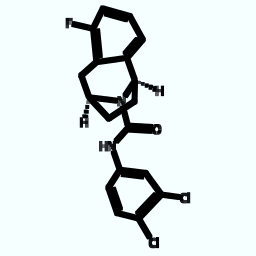 O=C(Nc1ccc(Cl)c(Cl)c1)N1[C@H]2CC[C@@H]1c1cccc(F)c1C2